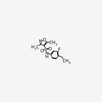 CCc1ccc(NS(=O)(=O)c2c(C)noc2C)cc1F